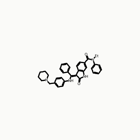 CCN(C(=O)c1ccc2c(c1)NC(=O)C2=C(Nc1ccc(CN2CCCCC2)cc1)c1ccccc1)c1ccccc1